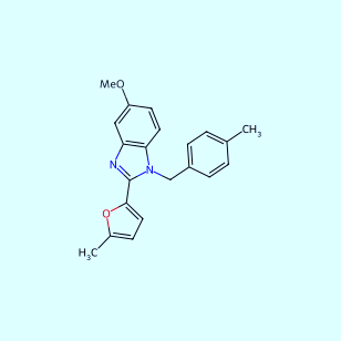 COc1ccc2c(c1)nc(-c1ccc(C)o1)n2Cc1ccc(C)cc1